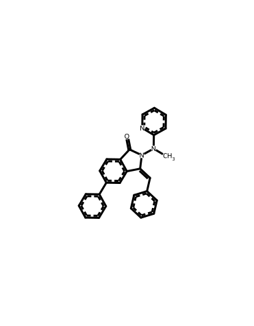 CN(c1ccccn1)N1C(=O)c2ccc(-c3ccccc3)cc2C1=Cc1ccccc1